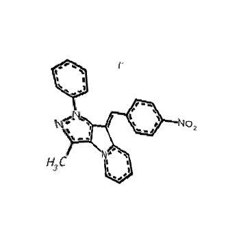 Cc1nn(-c2ccccc2)c2c1-[n+]1ccccc1C2=Cc1ccc([N+](=O)[O-])cc1.[I-]